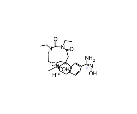 CCN1CCC[C@@]2(O)[C@H]3Cc4ccc(/C(N)=N\O)cc4[C@@]2(CCN3C)CC(=O)N(CC)C1=O